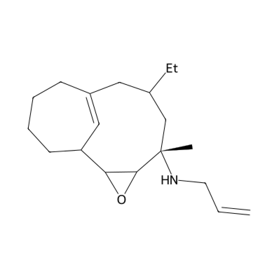 C=CCN[C@@]1(C)CC(CC)CC2=CC(CCCC2)C2OC21